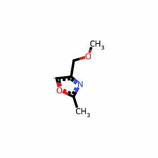 COCc1[c]oc(C)n1